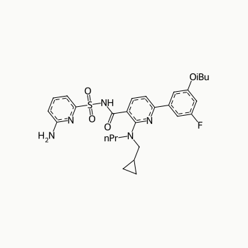 CCCN(CC1CC1)c1nc(-c2cc(F)cc(OCC(C)C)c2)ccc1C(=O)NS(=O)(=O)c1cccc(N)n1